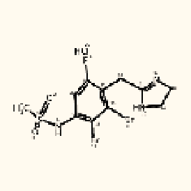 CS(=O)(=O)Nc1cc(F)c(CC2=NCCN2)c(Br)c1Br.Cl